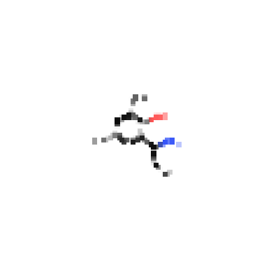 Cc1cc(C=O)c(O)c([C@@H](N)CC#N)c1